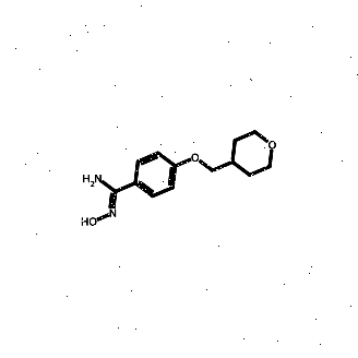 N/C(=N\O)c1ccc(OCC2CCOCC2)cc1